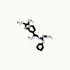 C=N/C(=N\C=C(/C)c1ccn2c(C)c(C)nc2c1)Oc1ccccc1